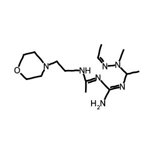 C/C=N\N(C)C(C)/N=C(N)\N=C(/C)NCCN1CCOCC1